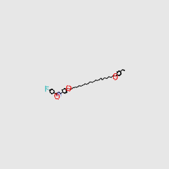 C=Cc1ccc(OCCCCCCCCCCCCCCCCCCOc2ccc(/C=C/C(=O)c3ccc(F)cc3)cc2)cc1